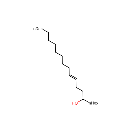 CCCCCCCCCCCCCCCCCC=CCCC(O)CCCCCC